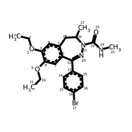 CCOc1cc2c(cc1OCC)C(c1ccc(Br)cc1)=NN(C(=O)NC)C(C)C2